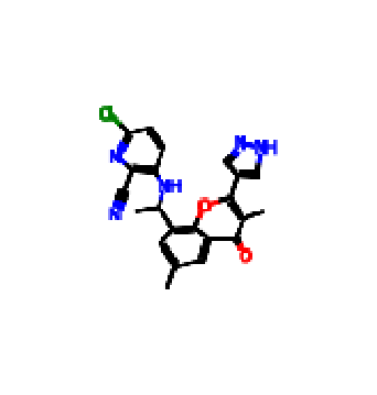 Cc1cc(C(C)Nc2ccc(Cl)nc2C#N)c2oc(-c3cn[nH]c3)c(C)c(=O)c2c1